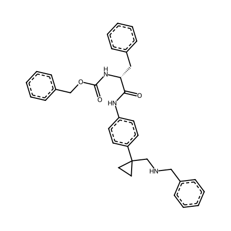 O=C(N[C@H](Cc1ccccc1)C(=O)Nc1ccc(C2(CNCc3ccccc3)CC2)cc1)OCc1ccccc1